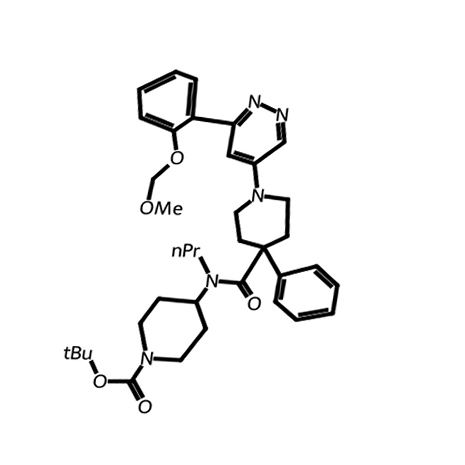 CCCN(C(=O)C1(c2ccccc2)CCN(c2cnnc(-c3ccccc3OCOC)c2)CC1)C1CCN(C(=O)OC(C)(C)C)CC1